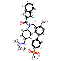 COc1ccc(-c2ccc(S(C)(=O)=O)cc2)cc1CN(C(=O)c1sc2ccccc2c1Cl)C1CCC(CN(C(=O)O)C(C)(C)C)CC1